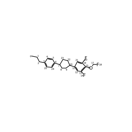 CCCc1ccc(C2CCC(c3cc(F)c(OCF)c(F)c3)CC2)cc1